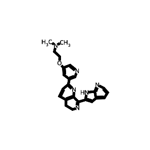 CN(C)CCOc1cncc(-c2ccc3c(n2)C(c2cc4cccnc4[nH]2)=NCC3)c1